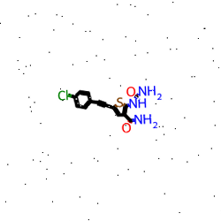 NC(=O)Nc1sc(C#Cc2ccc(Cl)cc2)cc1C(N)=O